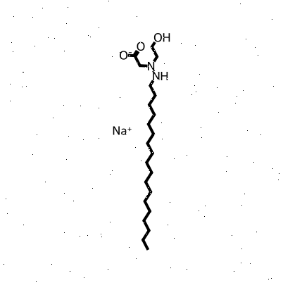 CCCCCCCCCCCCCCCCCCNN(CCO)CC(=O)[O-].[Na+]